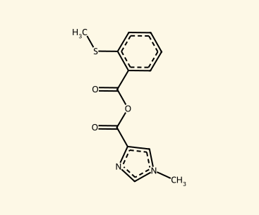 CSc1ccccc1C(=O)OC(=O)c1cn(C)cn1